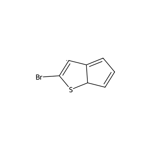 BrC1=[C]C2=CC=CC2S1